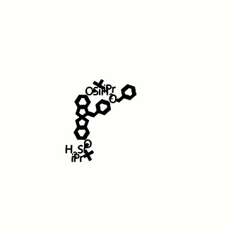 CC(C)C(C)(C)[SiH2]Oc1ccc2c(c1)CC1(C2)Cc2ccc(O[SiH2]C(C)(C)C(C)C)cc2C1=Cc1ccc(OCc2ccccc2)cc1